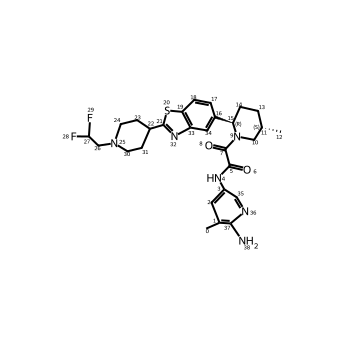 Cc1cc(NC(=O)C(=O)N2C[C@@H](C)CC[C@@H]2c2ccc3sc(C4CCN(CC(F)F)CC4)nc3c2)cnc1N